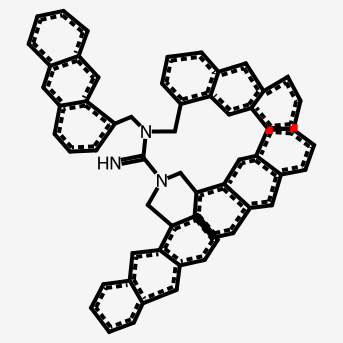 N=C(N(Cc1cccc2cc3ccccc3cc12)Cc1cccc2cc3ccccc3cc12)N(Cc1cccc2cc3ccccc3cc12)Cc1cccc2cc3ccccc3cc12